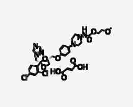 COCCOC(=O)NN1CCN(c2ccc(OC[C@@H]3CO[C@@](Cn4cncn4)(c4ccc(Cl)cc4Cl)O3)cc2)CC1.O=C(O)/C=C/C(=O)O